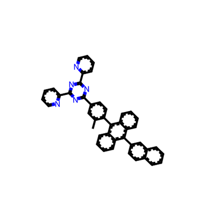 Cc1cc(-c2nc(-c3ccccn3)nc(-c3ccccn3)n2)ccc1-c1c2ccccc2c(-c2ccc3ccccc3c2)c2ccccc12